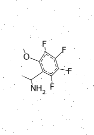 COc1c(F)c(F)c(F)c(F)c1C(C)N